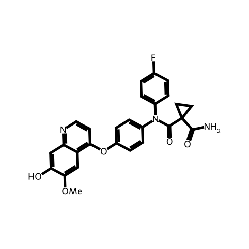 COc1cc2c(Oc3ccc(N(C(=O)C4(C(N)=O)CC4)c4ccc(F)cc4)cc3)ccnc2cc1O